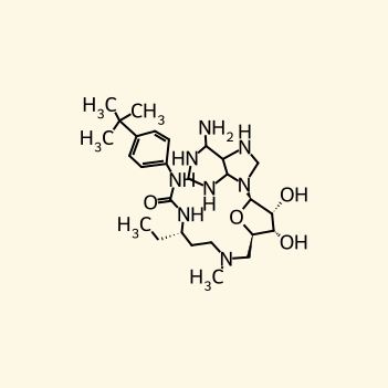 CC[C@@H](CCN(C)C[C@H]1O[C@@H](N2CNC3C(N)NCNC32)[C@H](O)[C@@H]1O)NC(=O)Nc1ccc(C(C)(C)C)cc1